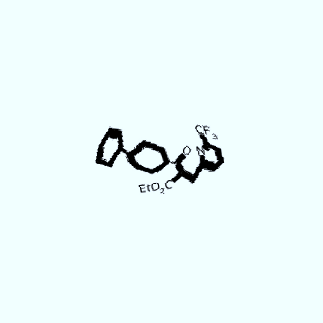 CCOC(=O)C(Cc1cccc(C(F)(F)F)n1)C(=O)[C@H]1CC[C@H](C2C=CC=CC2)CC1